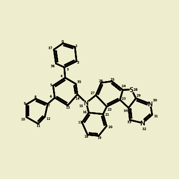 c1ccc(-c2cc(-c3ccccc3)cc(-n3c4ccccc4c4c5c(ccc43)sc3ncncc35)c2)cc1